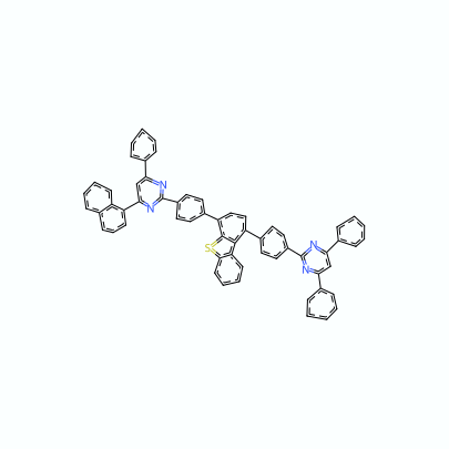 c1ccc(-c2cc(-c3ccccc3)nc(-c3ccc(-c4ccc(-c5ccc(-c6nc(-c7ccccc7)cc(-c7cccc8ccccc78)n6)cc5)c5sc6ccccc6c45)cc3)n2)cc1